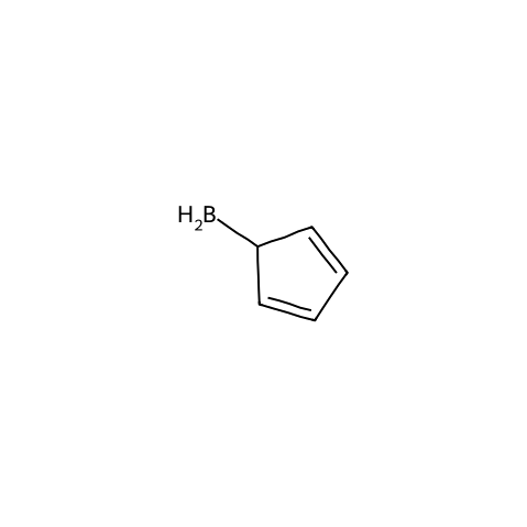 BC1C=CC=C1